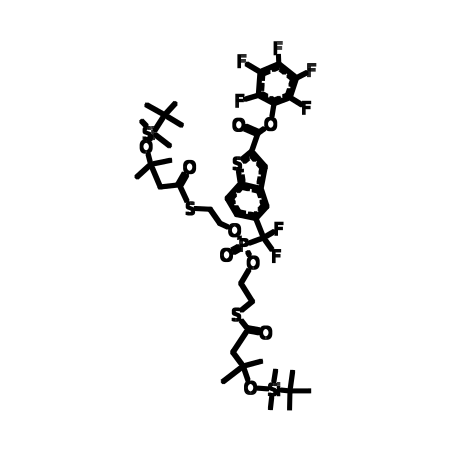 CC(C)(CC(=O)SCCOP(=O)(OCCSC(=O)CC(C)(C)O[Si](C)(C)C(C)(C)C)C(F)(F)c1ccc2sc(C(=O)Oc3c(F)c(F)c(F)c(F)c3F)cc2c1)O[Si](C)(C)C(C)(C)C